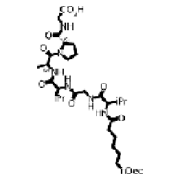 CCCCCCCCCCCCCCCC(=O)NC(C(=O)NCC(=O)NC(C(=O)N[C@@H](C)C(=O)N1CCC[C@H]1C(=O)NCC(=O)O)C(C)C)C(C)C